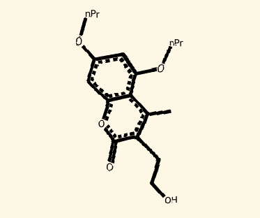 CCCOc1cc(OCCC)c2c(C)c(CCO)c(=O)oc2c1